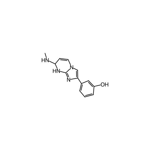 CNC1C=Cn2cc(-c3cccc(O)c3)nc2N1